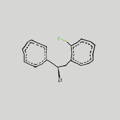 CC[C@@H](c1ccccc1)c1ccccc1F